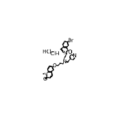 Cl.Cl.Cn1c(=O)ccc2cc(OCCCN(CCn3ccc4ccc(Br)cc4c3=O)Cc3ccncc3)ccc21